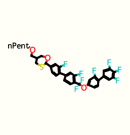 CCCCCOCC1COC(c2ccc(-c3ccc(C(F)(F)Oc4ccc(-c5cc(F)c(F)c(F)c5)c(F)c4)c(F)c3)c(F)c2)SC1